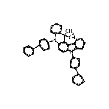 CC1(C)c2ccccc2N(c2ccc(-c3ccccc3)cc2)c2ccc3c(c21)c1ccccc1n3-c1ccc(-c2ccccc2)cc1